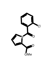 COC(=O)c1cccn1C(=O)c1ccccc1Cl